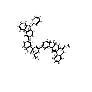 C=C(/C=C(\CCC)c1ccc2c(c1)-c1cc3c(cc1C2)C(=C)Cc1ccccc1-3)c1cc(-c2ccc3c(c2)c2c(n3C3C=CC=CC3)CCC=C2)ccc1C